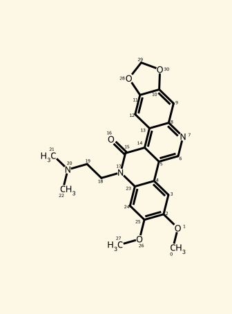 COc1cc2c3cnc4cc5c(cc4c3c(=O)n(CCN(C)C)c2cc1OC)OCO5